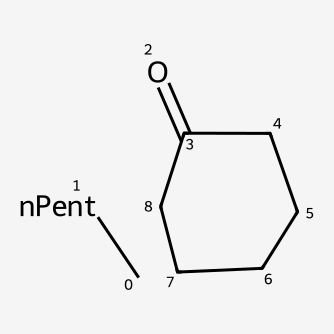 CCCCCC.O=C1CCCCC1